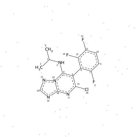 CC(C)Nc1c(-c2c(F)ccc(F)c2F)c(Cl)nc2ncnn12